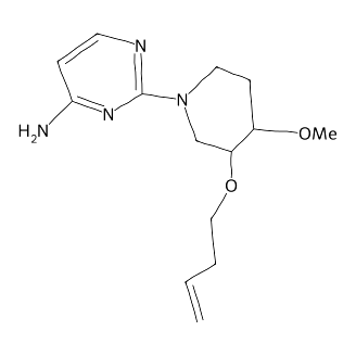 C=CCCOC1CN(c2nccc(N)n2)CCC1OC